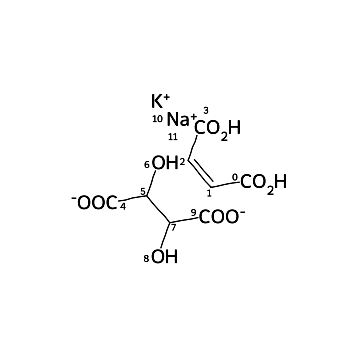 O=C(O)/C=C\C(=O)O.O=C([O-])C(O)C(O)C(=O)[O-].[K+].[Na+]